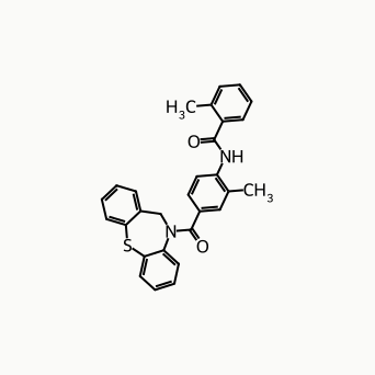 Cc1cc(C(=O)N2Cc3ccccc3Sc3ccccc32)ccc1NC(=O)c1ccccc1C